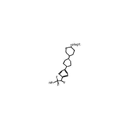 CCCCCCCC1CCC(C2CCC(c3ccc(C(F)C(F)(F)CCC)cc3)CC2)CC1